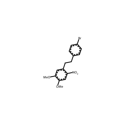 COc1cc([CH]Cc2ccc(Br)cc2)c([N+](=O)[O-])cc1OC